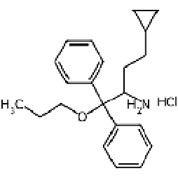 CCCOC(c1ccccc1)(c1ccccc1)C(N)CCC1CC1.Cl